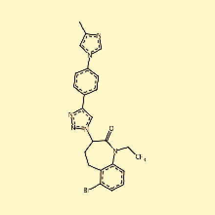 Cc1cn(-c2ccc(-c3cn(C4CCc5c(Br)cccc5N(CC(F)(F)F)C4=O)nn3)cc2)cn1